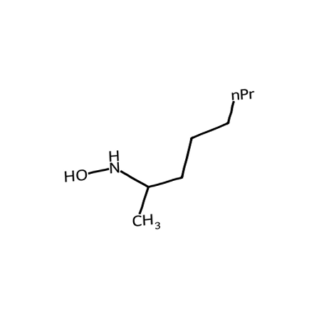 CCCCCCC(C)NO